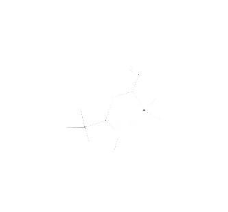 C=CC(OC(OC)C(C)(C)C)C(C)(C)C